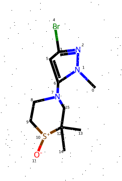 Cn1nc(Br)cc1N1CC[S+]([O-])C(C)(C)C1